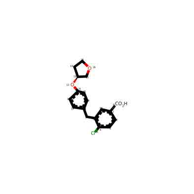 O=C(O)c1ccc(Cl)c(Cc2ccc(O[C@H]3CCOC3)cc2)c1